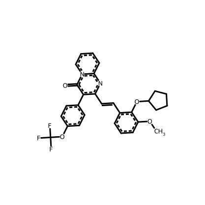 COc1cccc(/C=C/c2nc3ccccn3c(=O)c2-c2ccc(OC(F)(F)F)cc2)c1OC1CCCC1